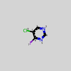 Clc1cncnc1I